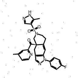 Cc1ccnc(C(=O)[C@]23Cc4cnn(-c5ccc(F)cc5)c4C=C2CCN(S(=O)(=O)c2cn[nH]c2C)C3)c1